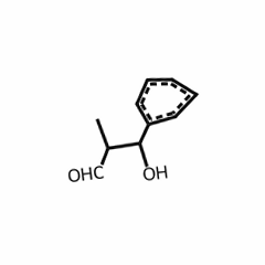 CC(C=O)C(O)c1ccccc1